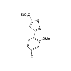 CCOC(=O)c1cc(-c2ccc(Cl)cc2OC)ns1